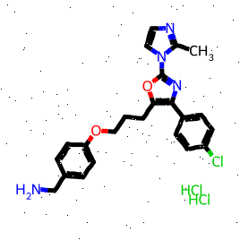 Cc1nccn1-c1nc(-c2ccc(Cl)cc2)c(CCCOc2ccc(CN)cc2)o1.Cl.Cl